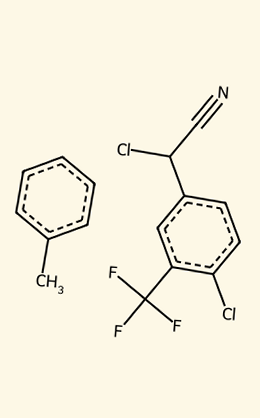 Cc1ccccc1.N#CC(Cl)c1ccc(Cl)c(C(F)(F)F)c1